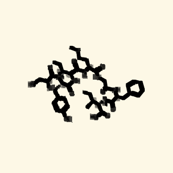 CC[C@H](C)[C@H](NC(=O)[C@H](Cc1ccccc1)NC(=O)CNC(=O)[C@H](CCSC)NC(=O)[C@@H](NC(=O)[C@H](Cc1ccc(O)cc1)NC(=O)[C@@H](N)CS)[C@@H](C)CC)C(=O)O